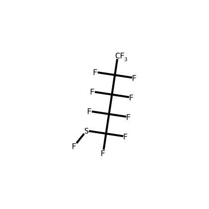 FSC(F)(F)C(F)(F)C(F)(F)C(F)(F)C(F)(F)F